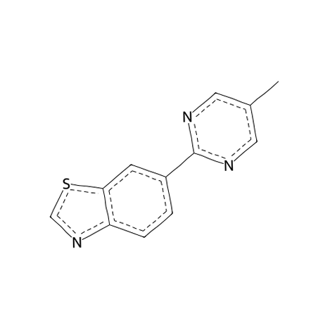 Cc1cnc(-c2ccc3ncsc3c2)nc1